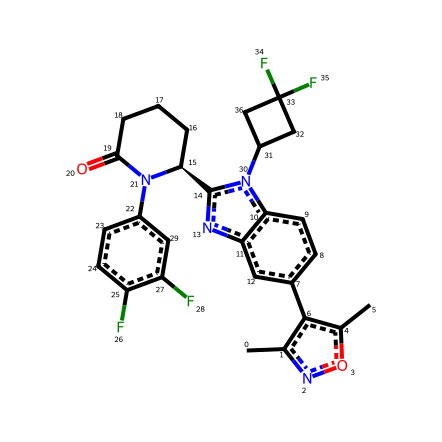 Cc1noc(C)c1-c1ccc2c(c1)nc([C@@H]1CCCC(=O)N1c1ccc(F)c(F)c1)n2C1CC(F)(F)C1